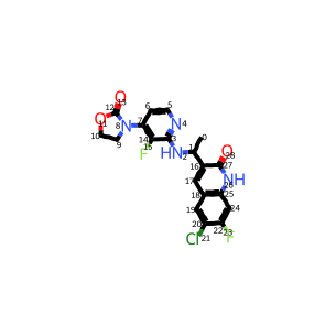 CC(Nc1nccc(N2CCOC2=O)c1F)c1cc2cc(Cl)c(F)cc2[nH]c1=O